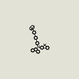 CC1(C)c2ccccc2-c2ccc(N(c3ccc(-c4ccc(-c5ccc(C67CC8CC(CC(C8)C6)C7)cc5)cc4)cc3)c3cc4ccccc4c4ccccc34)cc21